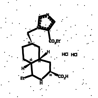 CCOC(=O)c1cncn1C[C@H]1CC[C@H]2C(CC)N[C@H](C(=O)O)C[C@H]2C1.Cl.Cl